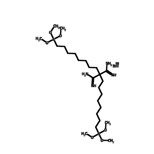 Br.CO[Si](CCCCCCCCC(CCCCCCCC[Si](OC)(OC)OC)(C(=N)N)C(=N)N)(OC)OC.I